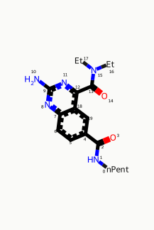 CCCCCNC(=O)c1ccc2nc(N)nc(C(=O)N(CC)CC)c2c1